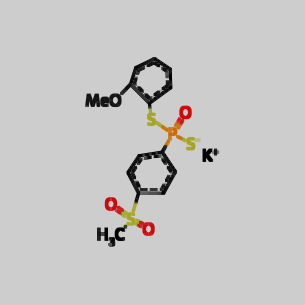 COc1ccccc1SP(=O)([S-])c1ccc(S(C)(=O)=O)cc1.[K+]